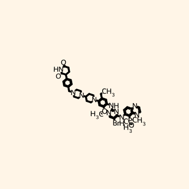 CCc1cc(Nc2ncc(Br)c(Nc3ccc4nccnc4c3P(C)(C)=O)n2)c(OC)cc1N1CCC(N2CCN(Cc3ccc(C4CCC(=O)NC4=O)cc3)CC2)CC1